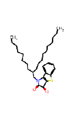 CCCCCCCCCCC(CCCCCCCC)CN1C(=O)C(=O)c2sc3ccccc3c21